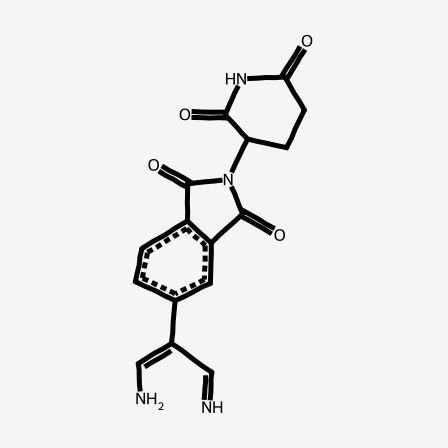 N=C/C(=C\N)c1ccc2c(c1)C(=O)N(C1CCC(=O)NC1=O)C2=O